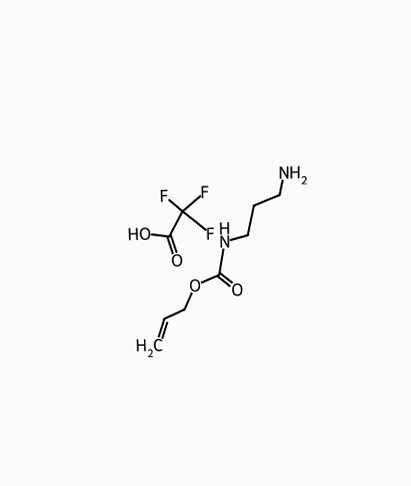 C=CCOC(=O)NCCCN.O=C(O)C(F)(F)F